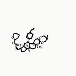 C=Cc1ccc([C@H]2C[C@@]3(C)[C@@H](CC[C@@]3(O)/C=C\COC3CCCCO3)[C@@H]3CC[C@@]4(O)CC5(CCC4=C32)OCC(C)(C)CO5)cc1